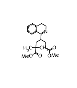 COC(=O)CCC(CC(C)(C)C(=O)OC)C1=NCCc2ccccc21